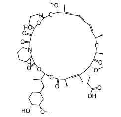 CO[C@H]1C[C@@H]2CC[C@@H](C)[C@@](O)(O2)C(=O)C(=O)N2CCCC[C@H]2C(=O)O[C@H]([C@H](C)C[C@@H]2CC[C@@H](O)[C@H](OC)C2)CC(=O)[C@H](C)/C=C(\C)[C@@H](CCC(=O)O)[C@@H](OC)C(=O)[C@H](C)C[C@H](C)/C=C/C=C/C=C/1C